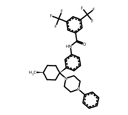 C[C@H]1CC[C@](c2cccc(NC(=O)c3cc(C(F)(F)F)cc(C(F)(F)F)c3)c2)(N2CCN(c3ccccc3)CC2)CC1